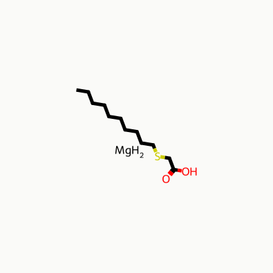 CCCCCCCCCCSCC(=O)O.[MgH2]